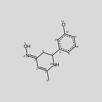 CC1=CC(=NO)CC(c2cccc(Cl)c2)N1